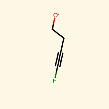 [O]CCC#CF